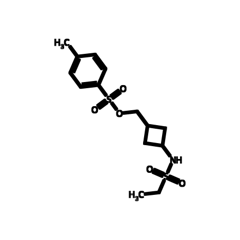 CCS(=O)(=O)NC1CC(COS(=O)(=O)c2ccc(C)cc2)C1